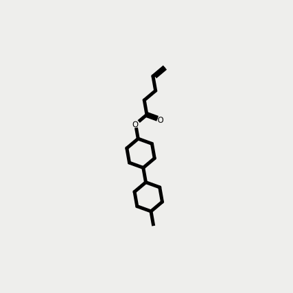 C=CCCC(=O)OC1CCC(C2CCC(C)CC2)CC1